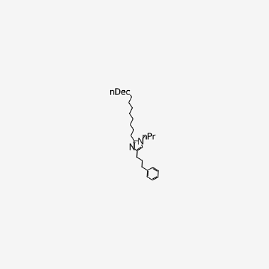 CCCCCCCCCCCCCCCCCCc1nc(CCCc2ccccc2)cn1CCC